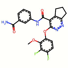 COc1c(Oc2nnc3c(c2C(=O)Nc2cccc(C(N)=O)c2)CCC3)ccc(F)c1F